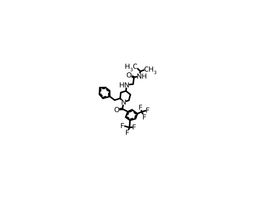 CC(C)NC(=O)CNC1CCN(C(=O)c2cc(C(F)(F)F)cc(C(F)(F)F)c2)C(Cc2ccccc2)C1